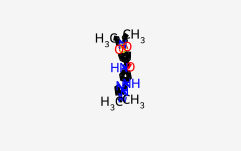 CCCN(CCC)S(=O)(=O)c1ccc(C(=O)NC2CCC(Nc3nccc(N(C)C)n3)CC2)cc1